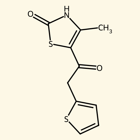 Cc1[nH]c(=O)sc1C(=O)Cc1cccs1